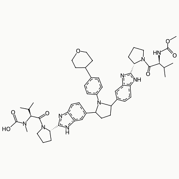 COC(=O)N[C@H](C(=O)N1CCC[C@H]1c1nc2cc(C3CCC(c4ccc5nc([C@@H]6CCCN6C(=O)[C@H](C(C)C)N(C)C(=O)O)[nH]c5c4)N3c3ccc(C4CCOCC4)cc3)ccc2[nH]1)C(C)C